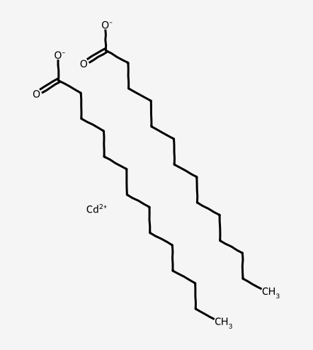 CCCCCCCCCCCCCC(=O)[O-].CCCCCCCCCCCCCC(=O)[O-].[Cd+2]